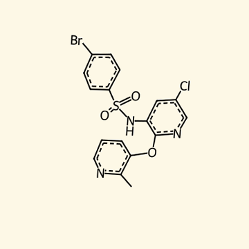 Cc1ncccc1Oc1ncc(Cl)cc1NS(=O)(=O)c1ccc(Br)cc1